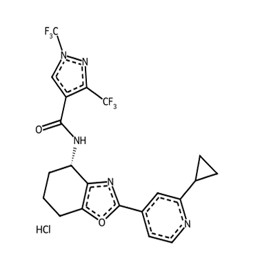 Cl.O=C(N[C@H]1CCCc2oc(-c3ccnc(C4CC4)c3)nc21)c1cn(C(F)(F)F)nc1C(F)(F)F